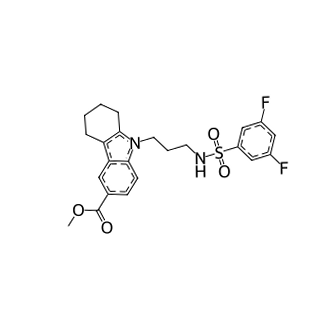 COC(=O)c1ccc2c(c1)c1c(n2CCCNS(=O)(=O)c2cc(F)cc(F)c2)CCCC1